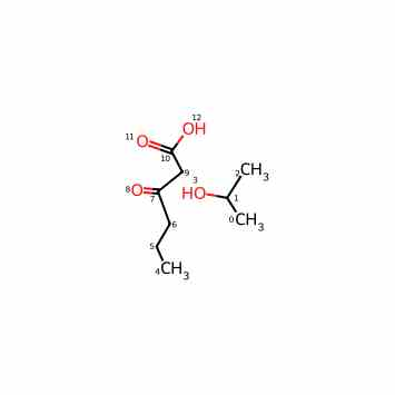 CC(C)O.CCCC(=O)CC(=O)O